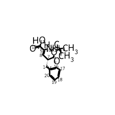 CC(C)(C)OC(=O)[C@@H](C=C(N)C(=O)O)Cc1ccccc1